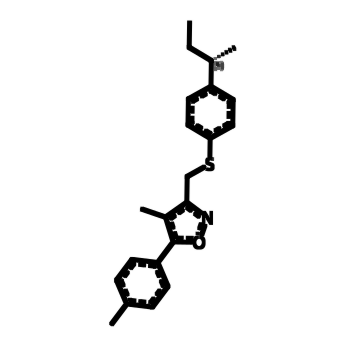 CC[C@H](C)c1ccc(SCc2noc(-c3ccc(C)cc3)c2C)cc1